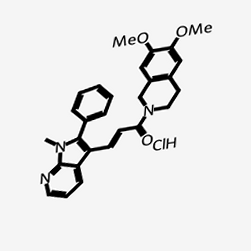 COc1cc2c(cc1OC)CN(C(=O)C=Cc1c(-c3ccccc3)n(C)c3ncccc13)CC2.Cl